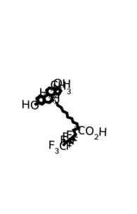 C[C@]12CC[C@@H]3c4ccc(O)cc4C[C@@H](CCCCCCCCC[C@H](CCC(F)(F)C(F)(F)C(F)(F)C(F)(F)F)C(=O)O)[C@H]3[C@@H]1CC[C@@H]2O